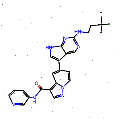 O=C(Nc1cccnc1)c1cnn2ccc(-c3c[nH]c4nc(NCCC(F)(F)F)ncc34)cc12